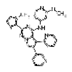 COc1cc(Nc2nc(-c3nccn3C)nn3cc(-c4cccnc4)c(-c4ccccn4)c23)ncn1